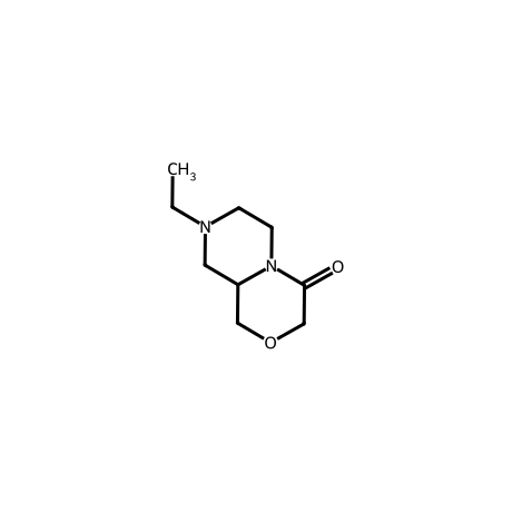 CCN1CCN2C(=O)COCC2C1